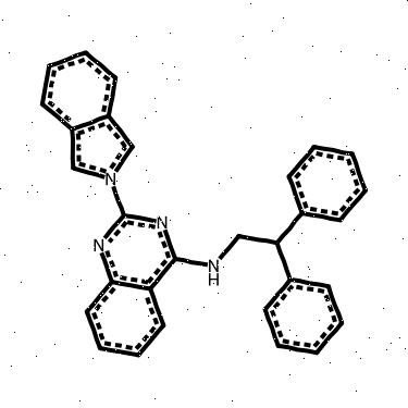 c1ccc(C(CNc2nc(-n3cc4ccccc4c3)nc3ccccc23)c2ccccc2)cc1